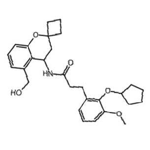 COc1cccc(CCC(=O)NC2CC3(CCC3)Oc3cccc(CO)c32)c1OC1CCCC1